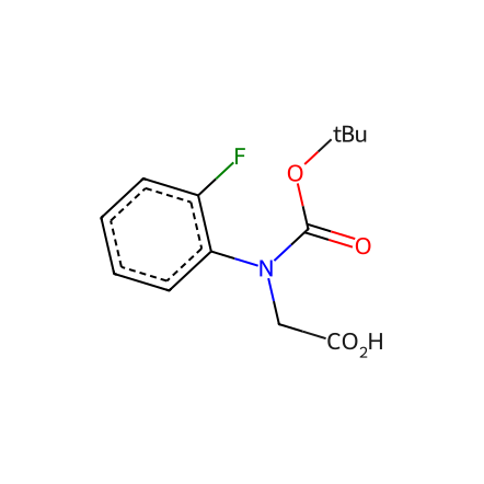 CC(C)(C)OC(=O)N(CC(=O)O)c1ccccc1F